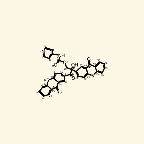 O=C(Nc1ccncc1)OCC(O)(C(=O)c1ccc2sc3ccccc3c(=O)c2c1)c1ccc2sc3ccccc3c(=O)c2c1